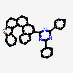 c1ccc(-c2nc(-c3ccccc3)nc(-c3cc4ccc5ccc6sc7ccccc7c6c5c4c4ccccc34)n2)cc1